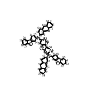 c1ccc2cc3cc(N(c4ccc5c(c4)oc4ccccc45)c4cc5oc6nc(N(c7ccc8cc9ccccc9cc8c7)c7ccc8c(c7)oc7ccccc78)ncc6c5nn4)ccc3cc2c1